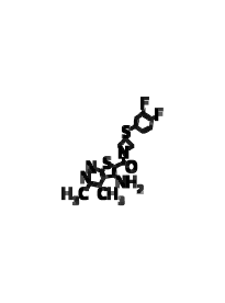 Cc1nnc2sc(C(=O)N3CC(Sc4ccc(F)c(F)c4)C3)c(N)c2c1C